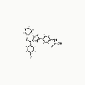 O=C(O)Nc1ccc(C2=NN(C(=O)c3ccc(Br)cc3)C(c3ccccn3)C2)cc1